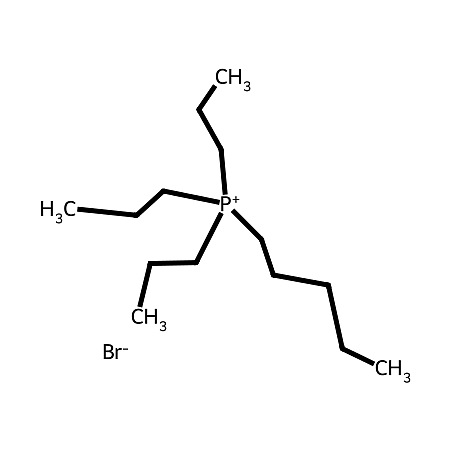 CCCCC[P+](CCC)(CCC)CCC.[Br-]